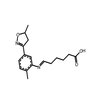 Cc1ccc(C2=NOC(C)C2)cc1/N=C/CCCCC(=O)O